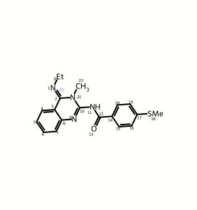 CC/N=c1/c2ccccc2nc(NC(=O)c2ccc(SC)cc2)n1C